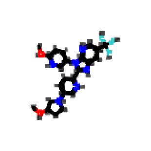 COc1ccc(-n2c(-c3ccc(N4CCC(OC)C4)cn3)nc3cc(C(F)(F)F)cnc32)cn1